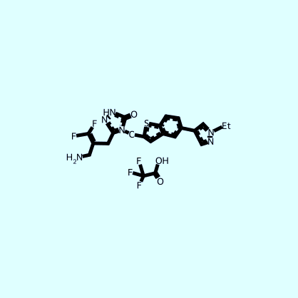 CCn1cc(-c2ccc3sc(Cn4c(CC(CN)=C(F)F)n[nH]c4=O)cc3c2)cn1.O=C(O)C(F)(F)F